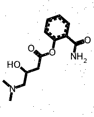 CN(C)CC(O)CC(=O)Oc1ccccc1C(N)=O